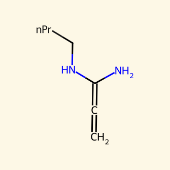 C=C=C(N)NCCCC